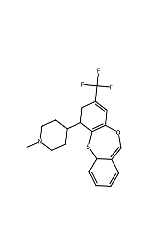 CN1CCC(C2CC(C(F)(F)F)=CC3=C2SC2C=CC=CC2=CO3)CC1